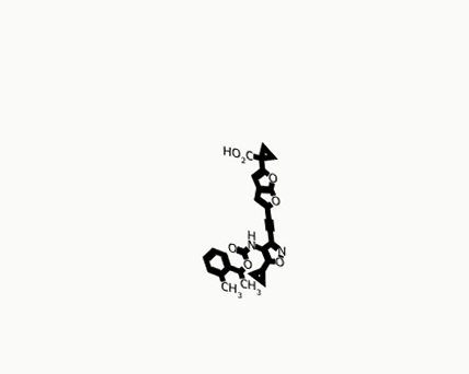 Cc1ccccc1C(C)OC(=O)Nc1c(C#Cc2cc3cc(C4(C(=O)O)CC4)oc3o2)noc1C1CC1